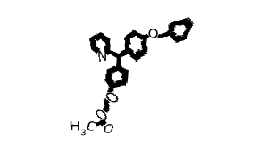 CC(=O)OCCOc1ccc(C(c2ccc(OCc3ccccc3)cc2)c2ccccn2)cc1